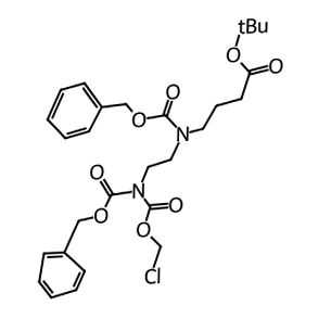 CC(C)(C)OC(=O)CCCN(CCN(C(=O)OCCl)C(=O)OCc1ccccc1)C(=O)OCc1ccccc1